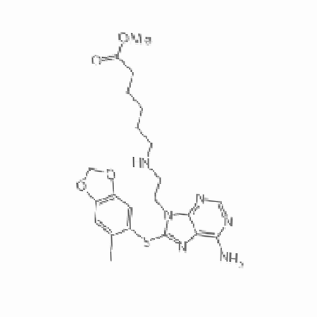 COC(=O)CCCCCNCCn1c(Sc2cc3c(cc2I)OCO3)nc2c(N)ncnc21